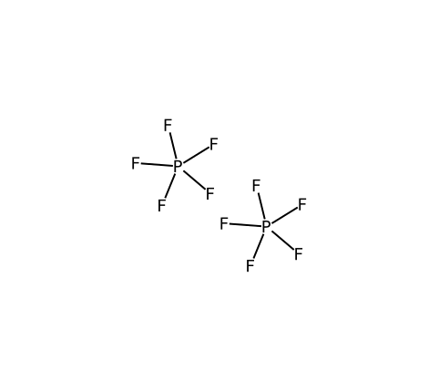 FP(F)(F)(F)F.FP(F)(F)(F)F